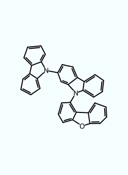 c1ccc2c(c1)oc1cccc(-n3c4ccccc4c4ccc(-n5c6ccccc6c6ccccc65)cc43)c12